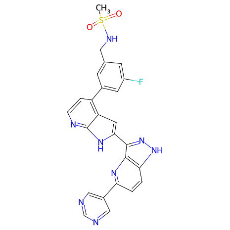 CS(=O)(=O)NCc1cc(F)cc(-c2ccnc3[nH]c(-c4n[nH]c5ccc(-c6cncnc6)nc45)cc23)c1